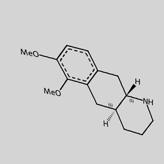 COc1ccc2c(c1OC)C[C@@H]1CCCN[C@H]1C2